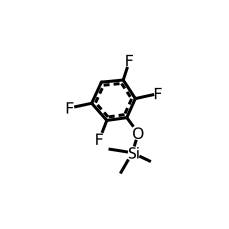 C[Si](C)(C)Oc1c(F)c(F)cc(F)c1F